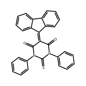 O=C1C(=C2c3ccccc3-c3ccccc32)C(=O)N(c2ccccc2)C(=S)N1c1ccccc1